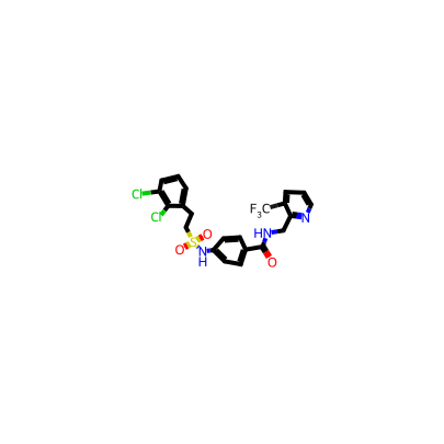 O=C(NCc1ncccc1C(F)(F)F)c1ccc(NS(=O)(=O)CCc2cccc(Cl)c2Cl)cc1